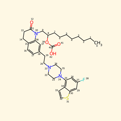 CCCCCCCCC(CN1C(=O)CCc2ccc(CCN3CCN(c4cc(F)cc5sccc45)CC3)cc21)OC(=O)O